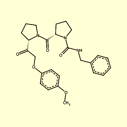 COc1ccc(OCC(=O)[C@@H]2CCCN2C(=O)[C@@H]2CCCN2C(=O)NCc2ccccc2)cc1